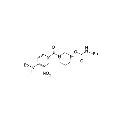 CCNc1ccc(C(=O)N2CCC[C@@H](OC(=O)NC(C)(C)C)C2)cc1[N+](=O)[O-]